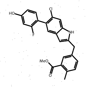 COC(=O)c1cc(Cc2cc3cc(-c4ccc(O)cc4F)c(Cl)cc3[nH]2)ccc1C